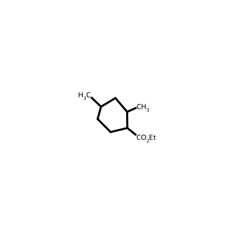 CCOC(=O)C1CCC(C)CC1C